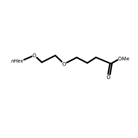 CCCCCCOCCOCCCC(=O)OC